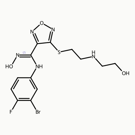 OCCNCCSc1nonc1/C(=N/O)Nc1ccc(F)c(Br)c1